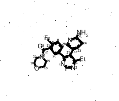 CCc1ncnc(-c2ccc(F)c(C(=O)N3CCOCC3)c2)c1-c1ccc(N)nc1